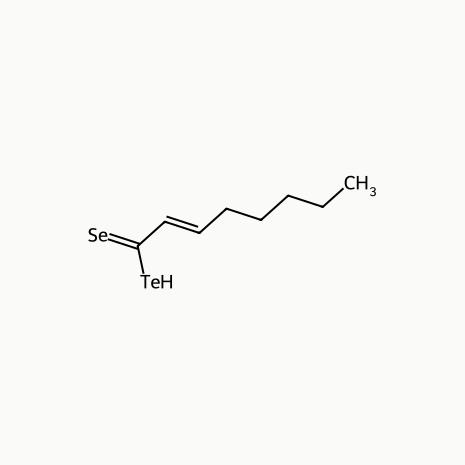 CCCCCC=CC(=[Se])[TeH]